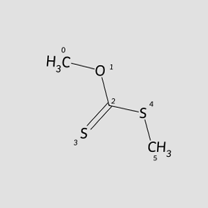 COC(=S)SC